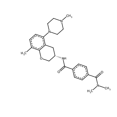 Cc1ccc(N2CCN(C)CC2)c2c1OC[C@@H](NC(=O)c1ccc(C(=O)N(C)C)cc1)C2